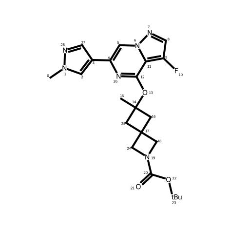 Cn1cc(-c2cn3ncc(F)c3c(OC3(C)CC4(CN(C(=O)OC(C)(C)C)C4)C3)n2)cn1